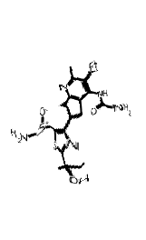 CCc1c(C)nc2c(c1NC(N)=O)CC(c1nc(C(C)(C)O)sc1[S+](N)[O-])C2